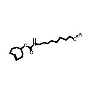 CC(C)OCCCCCCCCNC(=O)OC1CC/C=C/CCC1